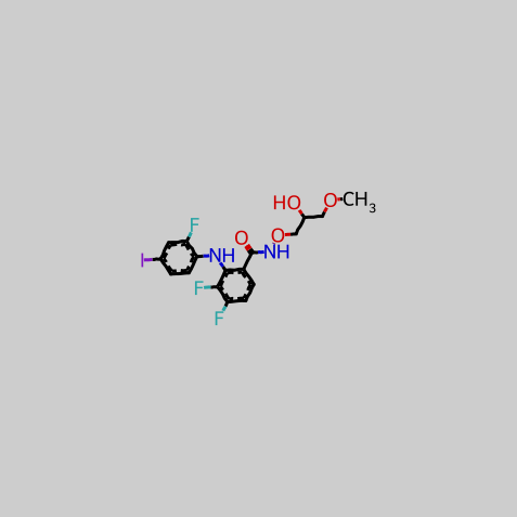 COCC(O)CONC(=O)c1ccc(F)c(F)c1Nc1ccc(I)cc1F